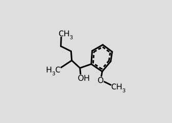 CCCC(C)C(O)c1ccccc1OC